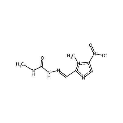 CNC(=O)NN=Cc1ncc([N+](=O)[O-])n1C